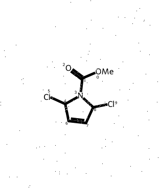 COC(=O)N1C(Cl)C=CC1Cl